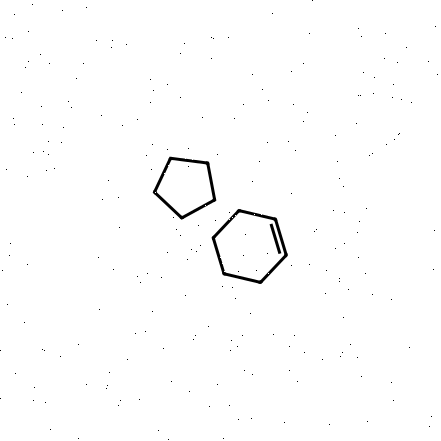 C1=CCCCC1.C1CCCC1